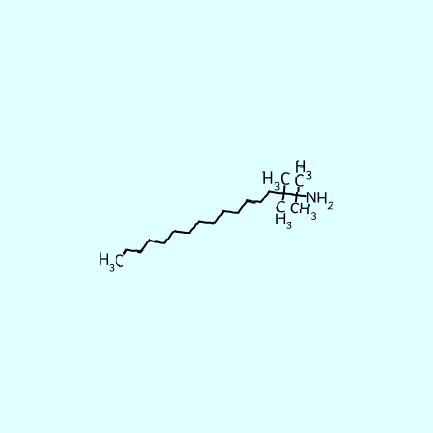 CCCCCCCCCCCCCCC(C)(C)C(C)(C)N